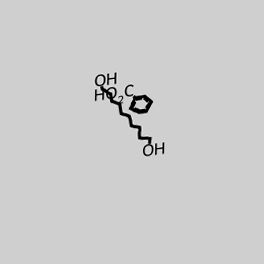 O=C(O)c1ccccc1.OCCCCCCCCCCO